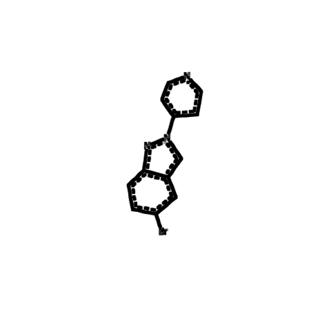 Brc1ccc2nn(-c3ccncc3)cc2c1